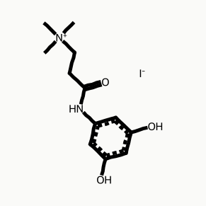 C[N+](C)(C)CCC(=O)Nc1cc(O)cc(O)c1.[I-]